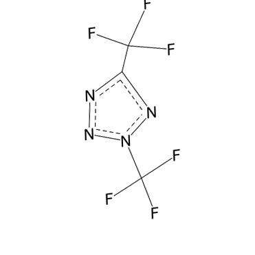 FC(F)(F)c1nnn(C(F)(F)F)n1